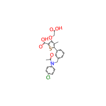 CC(=O)N(Cc1cccc(-c2sc(C(=O)O)c(OCC(=O)O)c2C)c1)c1ccc(Cl)cc1